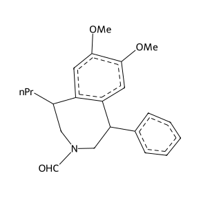 CCCC1CN(C=O)CC(c2ccccc2)c2cc(OC)c(OC)cc21